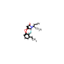 C=Cc1cccc(OC2=CC(=O)N([C@@H](CC(C)C)C(=O)O)C2)c1F